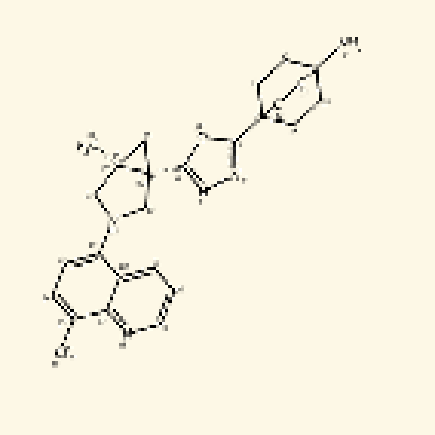 NC12CCC(c3nnc([C@]45CN(c6ccc(C(F)(F)F)c7ncccc67)C[C@@]4(C(F)(F)F)C5)o3)(CC1)CC2